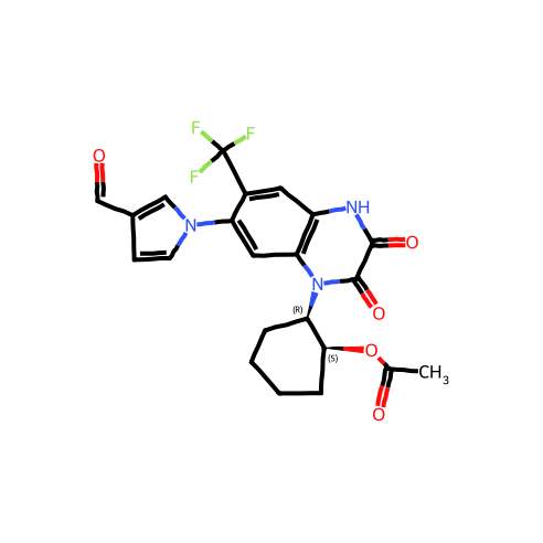 CC(=O)O[C@H]1CCCC[C@H]1n1c(=O)c(=O)[nH]c2cc(C(F)(F)F)c(-n3ccc(C=O)c3)cc21